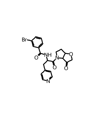 O=C(NC(Cc1ccncc1)C(=O)N1CCC2OCC(=O)C21)c1cccc(Br)c1